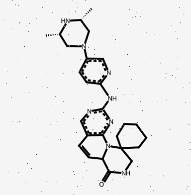 C[C@@H]1CN(c2ccc(Nc3ncc4c(n3)N3C(C=C4)C(=O)NCC34CCCCC4)nc2)C[C@H](C)N1